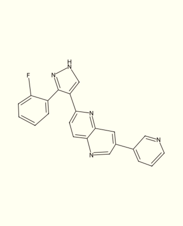 Fc1ccccc1-c1n[nH]cc1-c1ccc2ncc(-c3cccnc3)cc2n1